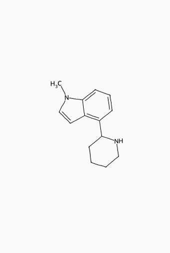 Cn1ccc2c(C3CCCCN3)cccc21